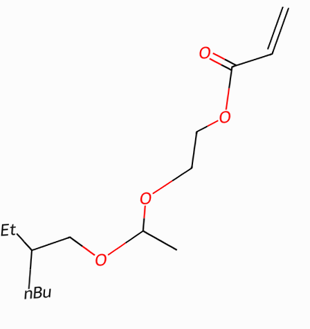 C=CC(=O)OCCOC(C)OCC(CC)CCCC